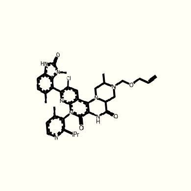 C=CCOCN1CC2C(=O)Nc3c(c4cc(Cl)c(-c5c(C)ccc6[nH]c(=O)n(C)c56)nc4n(-c4c(C)ccnc4C(C)C)c3=O)N2CC1C